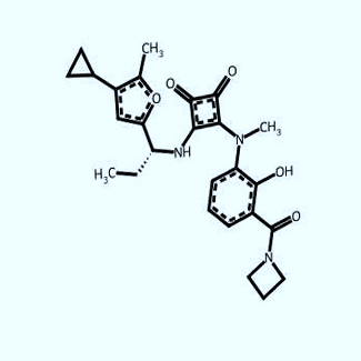 CC[C@@H](Nc1c(N(C)c2cccc(C(=O)N3CCC3)c2O)c(=O)c1=O)c1cc(C2CC2)c(C)o1